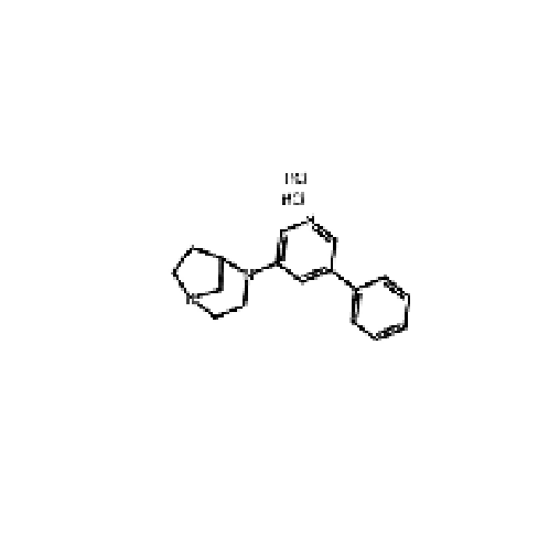 Cl.Cl.c1ccc(-c2cncc(N3CCN4CCC3C4)c2)cc1